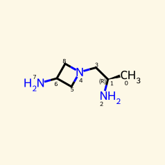 C[C@@H](N)CN1CC(N)C1